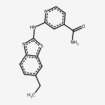 CCc1ccc2nc(Nc3cc(C(N)=O)ccn3)sc2c1